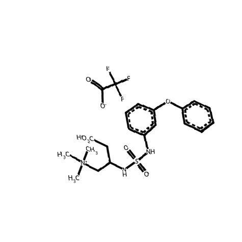 C[N+](C)(C)CC(CC(=O)O)NS(=O)(=O)Nc1cccc(Oc2ccccc2)c1.O=C([O-])C(F)(F)F